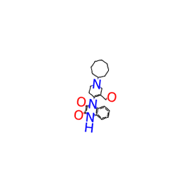 O=CC1=C(n2c(=O)c(=O)[nH]c3ccccc32)CCN(C2CCCCCCC2)C1